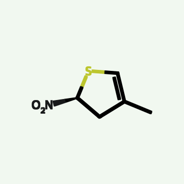 CC1=CS[C@H]([N+](=O)[O-])C1